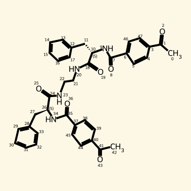 CC(=O)c1ccc(C(=O)N[C@@H](Cc2ccccc2)C(=O)NCCNC(=O)[C@H](Cc2ccccc2)NC(=O)c2ccc(C(C)=O)cc2)cc1